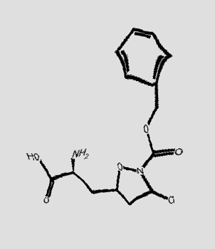 N[C@@H](CC1CC(Cl)N(C(=O)OCc2ccccc2)O1)C(=O)O